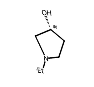 C[CH]N1CC[C@@H](O)C1